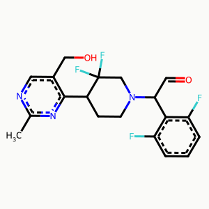 Cc1ncc(CO)c(C2CCN(C(C=O)c3c(F)cccc3F)CC2(F)F)n1